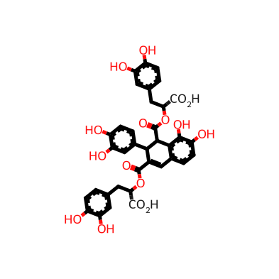 O=C(OC(Cc1ccc(O)c(O)c1)C(=O)O)C1=Cc2ccc(O)c(O)c2C(C(=O)OC(Cc2ccc(O)c(O)c2)C(=O)O)C1c1ccc(O)c(O)c1